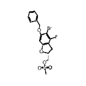 CS(=O)(=O)OC[C@H]1Cc2c(cc(OCc3ccccc3)c(Br)c2F)O1